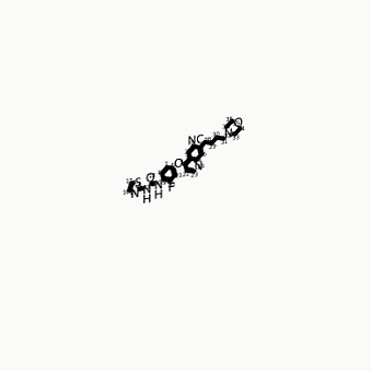 [C-]#[N+]c1cc2c(Oc3ccc(NC(=O)Nc4nccs4)c(F)c3)ccnc2cc1CCCCN1CCOCC1